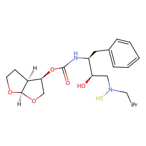 CC(C)CN(S)C[C@@H](O)[C@H](Cc1ccccc1)NC(=O)O[C@H]1CO[C@H]2OCC[C@H]21